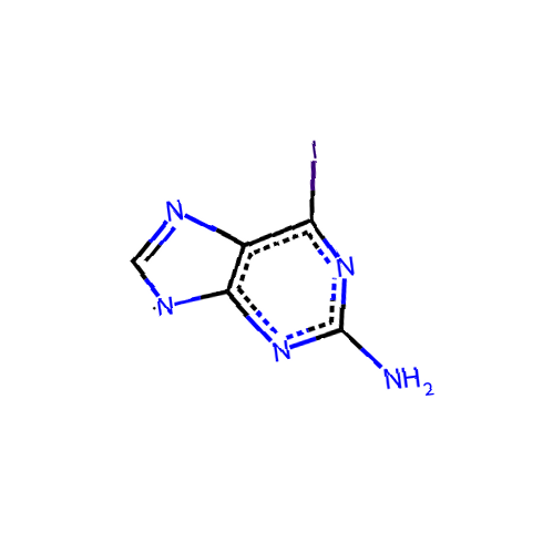 Nc1nc(I)c2c(n1)[N]C=N2